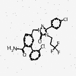 NC(=O)c1ccc(Cn2nc(-c3ccc(Cl)cc3)n(CCC(F)(F)F)c2=O)cc1-c1ccccc1Cl